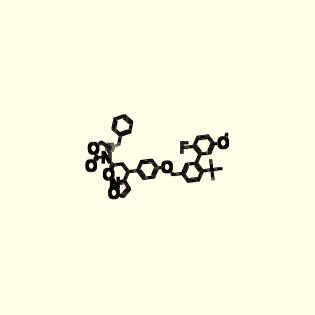 COc1ccc(F)c(-c2cc(COc3ccc(C(CC(=O)N4C(=O)OC[C@@H]4Cc4ccccc4)c4ccon4)cc3)ccc2C(C)(C)C)c1